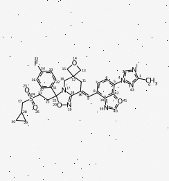 Cc1ncn(-c2ccc(/C=C3\CC4(COC4)CN4C3=NOC4(CCS(=O)(=O)CC3CC3)c3ccc(F)cc3)c3ncoc23)n1